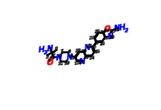 CC(C)(N)C(=O)N1CCN(c2cnc3ccc(C4=CC5N=C(N)OC5C=C4)nc3c2)CC1